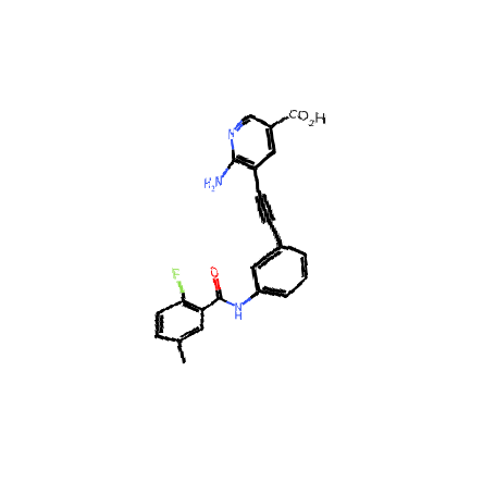 Cc1ccc(F)c(C(=O)Nc2cccc(C#Cc3cc(C(=O)O)cnc3N)c2)c1